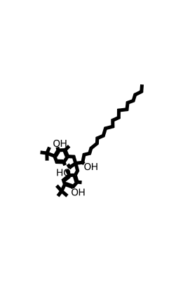 CCCCCCCCCCCCCCCCCC(O)C(Cc1c(C)cc(C(C)(C)C)c(O)c1C)(Cc1c(C)cc(C(C)(C)C)c(O)c1C)C(C)O